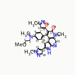 COCCN(C)c1ccc(-c2c(-c3cc(C)no3)c(=O)n(C)c3cnc4[nH]c(-c5cnn(C)c5)cc4c23)cc1